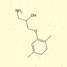 CC1=CC(OCC(O)CN)=C(C)CC1